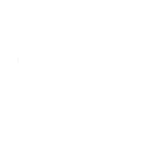 Oc1ccc(CC[C@H]2C=CCCC2)cc1